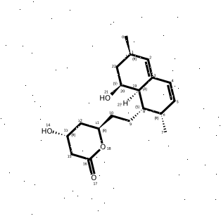 C[C@H]1C=C2C=C[C@H](C)[C@H](CC[C@@H]3C[C@@H](O)CC(=O)O3)[C@H]2[C@@H](O)C1